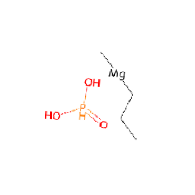 CC[CH2][Mg][CH3].O=[PH](O)O